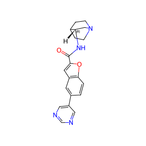 O=C(N[C@H]1CN2CCC1CC2)c1cc2cc(-c3cncnc3)ccc2o1